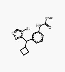 CCn1cnnc1C(c1cccc(NC(=O)NC)c1)C1CCC1